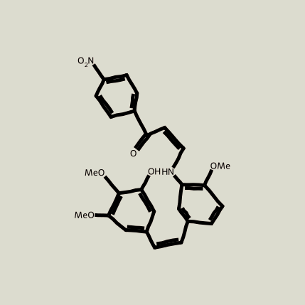 COc1ccc(/C=C\c2cc(O)c(OC)c(OC)c2)cc1N/C=C\C(=O)c1ccc([N+](=O)[O-])cc1